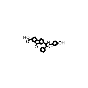 O=C(O)c1ccc2c(c1)C(=O)c1cc(-c3nc(-c4ccc(O)cc4)[nH]c3-c3ccccc3)ccc1-2